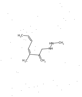 C=C(CNNC)/C(C)=C\C=C/C